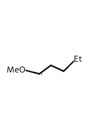 CCCC[C]OC